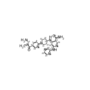 CN(CN)C(=O)c1ccc(N2CCC(Nc3cc(Nc4cnccn4)ncc3C(N)=O)CC2)nc1